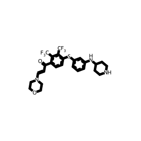 O=C(C=CN1CCOCC1)c1ccc(Sc2cccc(NC3CCNCC3)c2)c(C(F)(F)F)c1C(F)(F)F